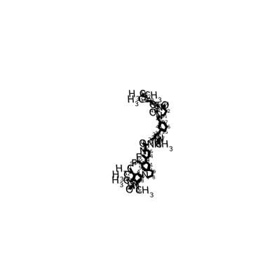 CC(C)c1cc(N2CCCc3cc(-c4ccc(C(=O)NCc5cc(-c6cccc(CN7CCC(=O)N(COCC[Si](C)(C)C)C7=O)c6)nn5C)nc4)c(C(F)F)cc32)cc2c1n(C)c(=O)n2C